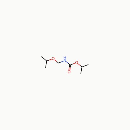 CC(C)OCNC(=O)OC(C)C